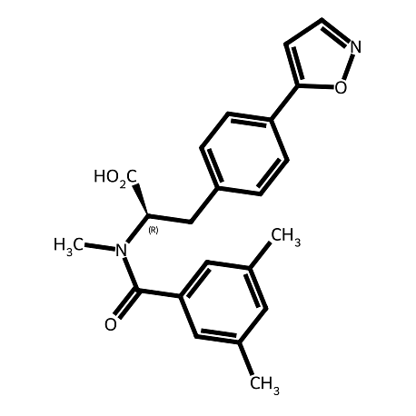 Cc1cc(C)cc(C(=O)N(C)[C@H](Cc2ccc(-c3ccno3)cc2)C(=O)O)c1